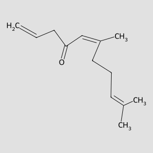 C=CCC(=O)/C=C(/C)CCC=C(C)C